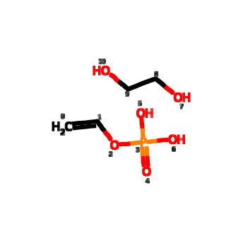 C=COP(=O)(O)O.OCCO